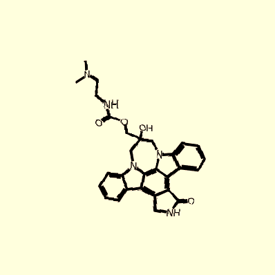 CN(C)CCNC(=O)OCC1(O)Cn2c3ccccc3c3c4c(c5c6ccccc6n(c5c32)C1)C(=O)NC4